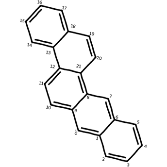 [c]1c2ccccc2cc2c1ccc1c3ccccc3ccc21